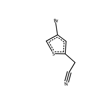 N#CCc1cc(Br)cs1